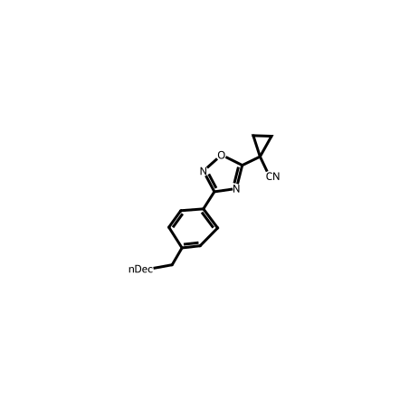 CCCCCCCCCCCc1ccc(-c2noc(C3(C#N)CC3)n2)cc1